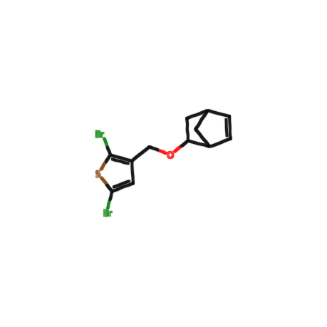 Brc1cc(COC2CC3C=CC2C3)c(Br)s1